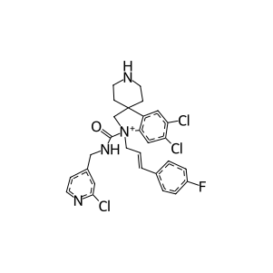 O=C(NCc1ccnc(Cl)c1)[N+]1(C/C=C/c2ccc(F)cc2)CC2(CCNCC2)c2cc(Cl)c(Cl)cc21